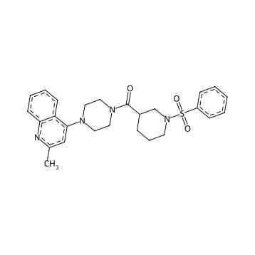 Cc1cc(N2CCN(C(=O)C3CCCN(S(=O)(=O)c4ccccc4)C3)CC2)c2ccccc2n1